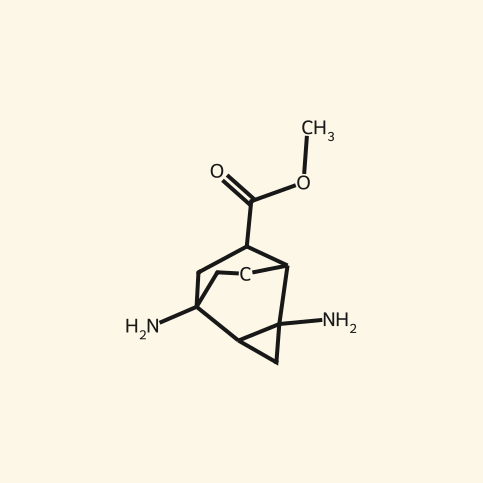 COC(=O)C1CC2(N)CCC1C1(N)CC21